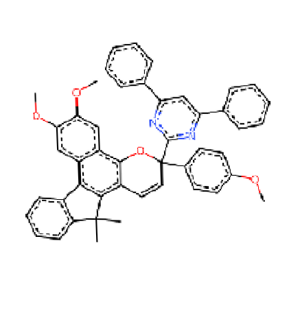 COc1ccc(C2(c3nc(-c4ccccc4)cc(-c4ccccc4)n3)C=Cc3c4c(c5cc(OC)c(OC)cc5c3O2)-c2ccccc2C4(C)C)cc1